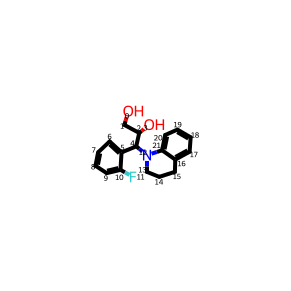 OCC(O)C(c1ccccc1F)N1CCCc2ccccc21